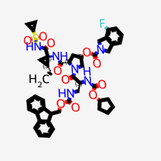 C=C[C@@H]1C[C@]1(NC(=O)[C@@H]1C[C@@H](OC(=O)N2Cc3cccc(F)c3C2)CN1C(=O)[C@H](CNC(=O)OCC1c2ccccc2-c2ccccc21)NC(=O)OC1CCCC1)C(=O)NS(=O)(=O)C1CC1